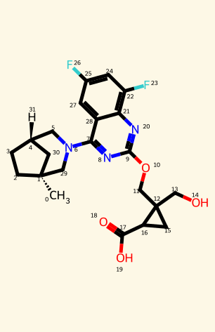 C[C@@]12CC[C@H](CN(c3nc(OCC4(CO)CC4C(=O)O)nc4c(F)cc(F)cc34)C1)C2